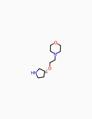 C1C[C@@H](OCCN2CCOCC2)CN1